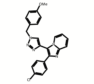 COc1ccc(Cn2cc(-c3c(-c4ccc(Cl)cc4)nc4ccccn34)nn2)cc1